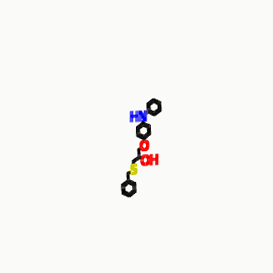 OC(COc1ccc(Nc2ccccc2)cc1)CSCc1ccccc1